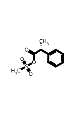 C[C@@H](C(=O)OS(C)(=O)=O)c1ccccc1